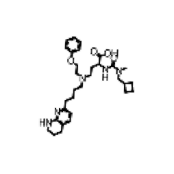 CN(CC1CCC1)C(=O)NC(CCN(CCCCc1ccc2c(n1)NCCC2)CCOc1ccccc1)C(=O)O